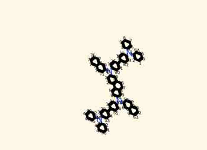 c1ccc(N(c2ccccc2)c2ccc(-c3ccc(N(c4ccc5c(c4)CCc4cc(N(c6ccc(-c7ccc(N(c8ccccc8)c8ccccc8)cc7)cc6)c6ccc7ccccc7c6)ccc4-5)c4ccc5ccccc5c4)cc3)cc2)cc1